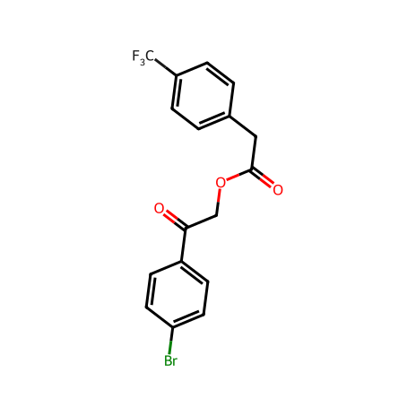 O=C(Cc1ccc(C(F)(F)F)cc1)OCC(=O)c1ccc(Br)cc1